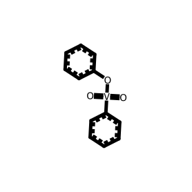 [O]=[V](=[O])([O]c1ccccc1)[c]1ccccc1